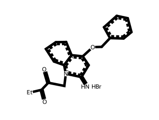 Br.CCC(=O)C(=O)Cn1c(=N)cc(OCc2ccccc2)c2ccccc21